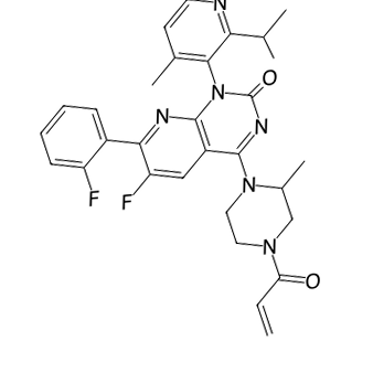 C=CC(=O)N1CCN(c2nc(=O)n(-c3c(C)ccnc3C(C)C)c3nc(-c4ccccc4F)c(F)cc23)C(C)C1